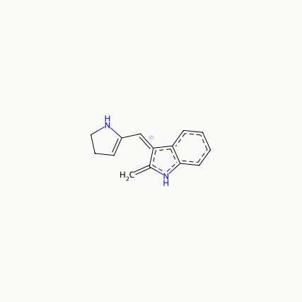 C=c1[nH]c2ccccc2/c1=C/C1=CCCN1